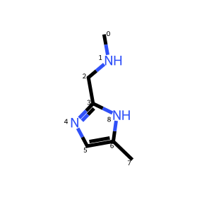 CNCc1ncc(C)[nH]1